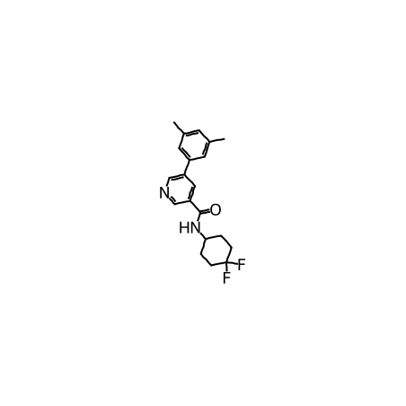 Cc1cc(C)cc(-c2cncc(C(=O)NC3CCC(F)(F)CC3)c2)c1